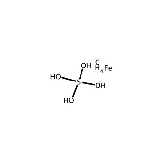 C.O[Si](O)(O)O.[Fe]